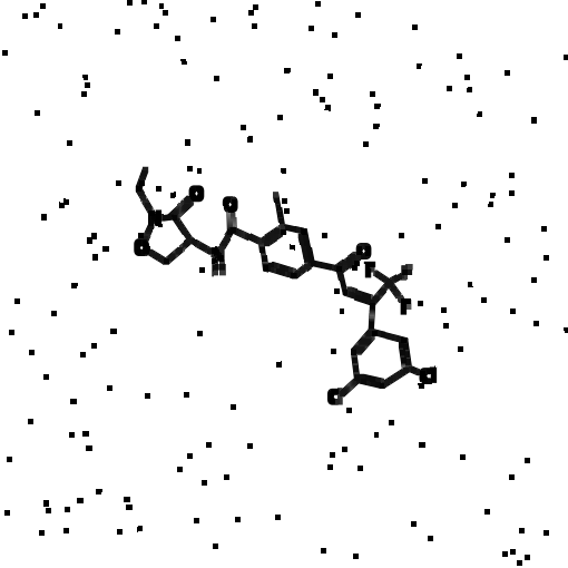 CCN1OCC(NC(=O)c2ccc(C(=O)C=C(c3cc(Cl)cc(Cl)c3)C(F)(F)F)cc2C)C1=O